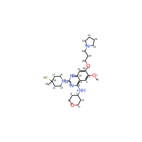 COc1cc2c(NC3CCOCC3)nc(N3CCC(C)(F)CC3)nc2cc1OCCCN1CCCC1